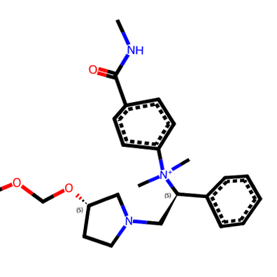 CNC(=O)c1ccc([N+](C)(C)[C@H](CN2CC[C@H](OCOC)C2)c2ccccc2)cc1